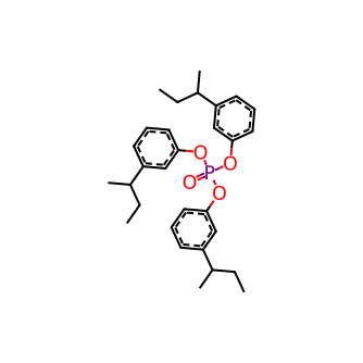 CCC(C)c1cccc(OP(=O)(Oc2cccc(C(C)CC)c2)Oc2cccc(C(C)CC)c2)c1